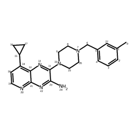 Cc1cccc(CN2CCN(c3nc4c(C5CC5)ccnc4nc3N)CC2)c1